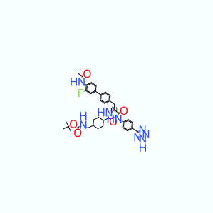 CC(=O)Nc1ccc(-c2ccc(C[C@H](NC(=O)C3CCC(CNC(=O)OC(C)(C)C)CC3)C(=O)Nc3ccc(-c4nn[nH]n4)cc3)cc2)cc1F